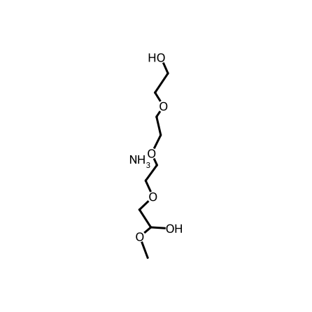 COC(O)COCCOCCOCCO.N